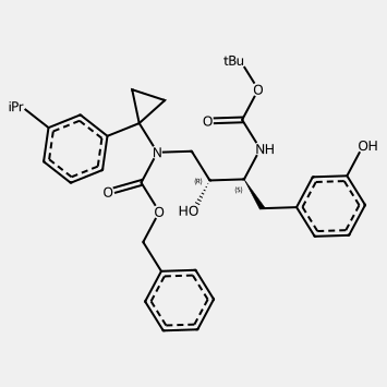 CC(C)c1cccc(C2(N(C[C@@H](O)[C@H](Cc3cccc(O)c3)NC(=O)OC(C)(C)C)C(=O)OCc3ccccc3)CC2)c1